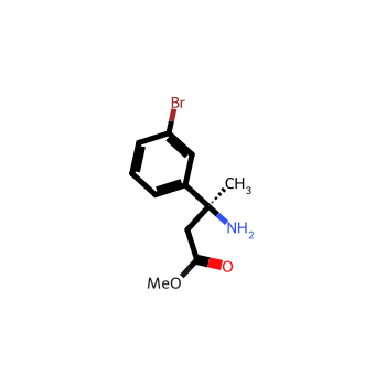 COC(=O)C[C@](C)(N)c1cccc(Br)c1